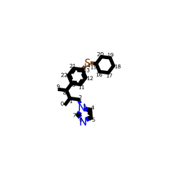 CC(Cn1ccnc1)C(C)c1ccc(SC2CCCCC2)cc1